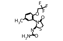 Cc1ccc(OCC(F)(F)F)c(N2C(=O)CSC2=NC(N)=O)c1